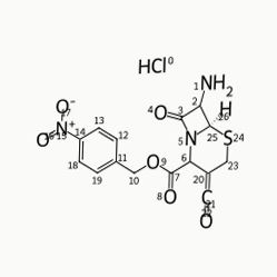 Cl.NC1C(=O)N2C(C(=O)OCc3ccc([N+](=O)[O-])cc3)C(=C=O)CS[C@H]12